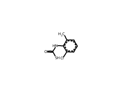 Cc1cccc(Cl)c1NC(=O)S